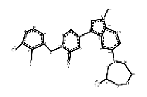 Cn1cc(-c2ccn(Cc3cccc(Cl)c3F)c(=O)c2)c2cc(N3CCOCC(O)C3)cnc21